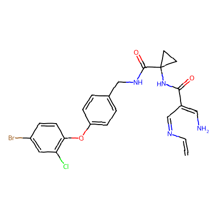 C=C/N=C\C(=C/N)C(=O)NC1(C(=O)NCc2ccc(Oc3ccc(Br)cc3Cl)cc2)CC1